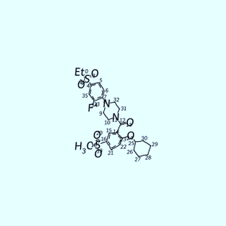 CCS(=O)(=O)c1ccc(N2CCN(C(=O)c3cc(S(C)(=O)=O)ccc3OC3CCCCC3)CC2)c(F)c1